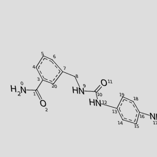 NC(=O)c1cccc(CNC(=O)Nc2ccc(N)cc2)c1